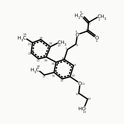 C=C(C)C(=O)OCCc1cc(OCCO)cc(CC)c1-c1ccc(C)cc1C